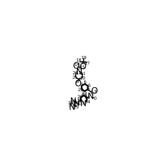 CN(C(=O)c1ccc(OC2CCN(C(=O)OC(C)(C)C)CC2)cc1)c1ccc(-n2cncn2)nc1